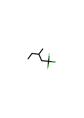 CCC(C)[CH]C(F)(F)F